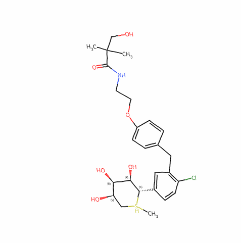 C[SH]1C[C@@H](O)[C@@H](O)[C@@H](O)[C@@H]1c1ccc(Cl)c(Cc2ccc(OCCNC(=O)C(C)(C)CO)cc2)c1